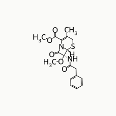 COC(=O)C1=C(C)CS[C@H]2N1C(=O)[C@]2(NC(=O)Cc1ccccc1)OC